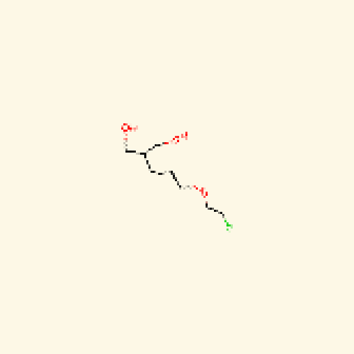 OCC(CO)CCCOCCCl